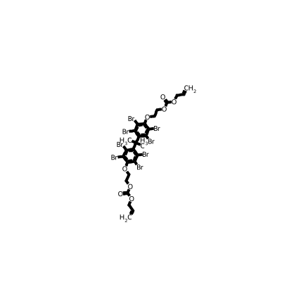 C=CCOC(=O)OCCOc1c(Br)c(Br)c(C(C)(C)c2c(Br)c(Br)c(OCCOC(=O)OCC=C)c(Br)c2Br)c(Br)c1Br